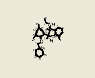 CCNCc1cccc(C)c1PC(C)(CC)c1cc(C)cc(C)c1OCc1ccccc1